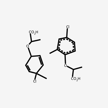 CC(OC1C=CC(C)(Cl)C=C1)C(=O)O.Cc1cc(Cl)ccc1OC(C)C(=O)O